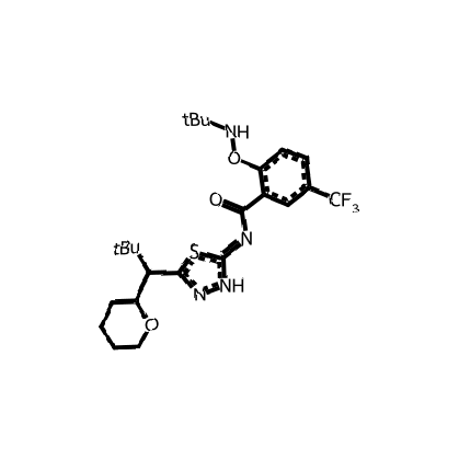 CC(C)(C)NOc1ccc(C(F)(F)F)cc1C(=O)N=c1[nH]nc(C(C2CCCCO2)C(C)(C)C)s1